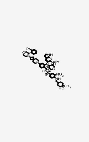 CC(C)c1ccccc1[C@@H]1COCCN1C1CC2(CCN(c3ccc(C(=O)NS(=O)(=O)c4ccc(NCC5CCC(C)(O)CC5)c([N+](=O)[O-])c4)c(N4c5cc6cc[nH]c6nc5N(C(C)C)[C@H]5COCC[C@@H]54)c3)CC2)C1